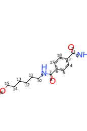 NC(=O)c1ccc(C(=O)NCCCCCCO)cc1